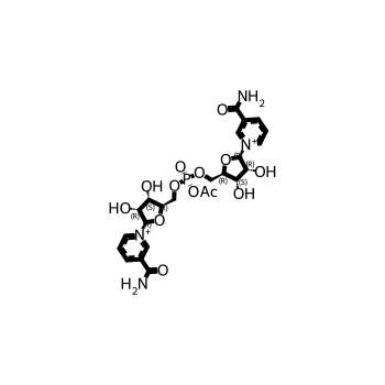 CC(=O)OP(=O)(OC[C@H]1O[C@@H]([n+]2cccc(C(N)=O)c2)[C@H](O)[C@@H]1O)OC[C@H]1O[C@@H]([n+]2cccc(C(N)=O)c2)[C@H](O)[C@@H]1O